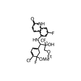 CCOCC(O)(C(Nc1cc(F)cc2[nH]c(=O)ccc12)C1=CC=C(Cl)C(F)(OC)C1)C(F)(F)F